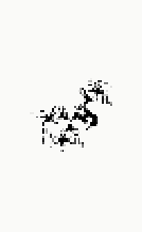 CC(C)(C)OC(=O)N(C(=O)OC(C)(C)C)c1nn(C(=O)OC(C)(C)C)c2ccsc12